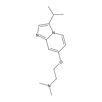 CC(C)c1cnc2cc(OCCN(C)C)ccn12